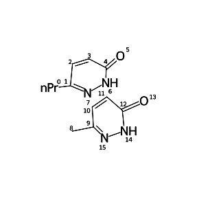 CCCc1ccc(=O)[nH]n1.Cc1ccc(=O)[nH]n1